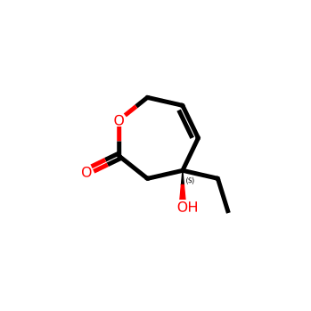 CC[C@@]1(O)C=CCOC(=O)C1